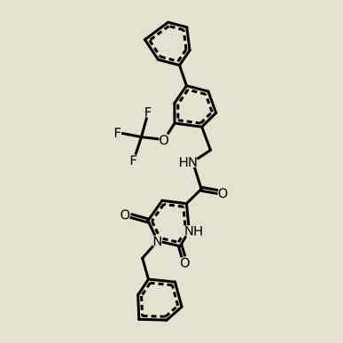 O=C(NCc1ccc(-c2ccccc2)cc1OC(F)(F)F)c1cc(=O)n(Cc2ccccc2)c(=O)[nH]1